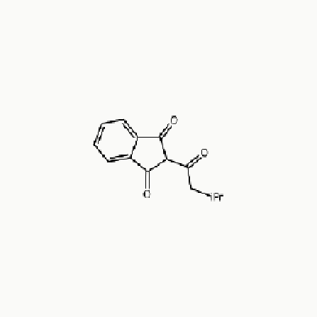 CC(C)CC(=O)C1C(=O)c2ccccc2C1=O